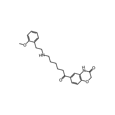 COc1ccccc1CCNCCCCCC(=O)c1ccc2c(c1)NC(=O)CO2